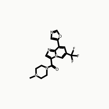 CN1CCN(C(=O)c2cnc3c(-c4cnco4)cc(C(F)(F)F)cn23)CC1